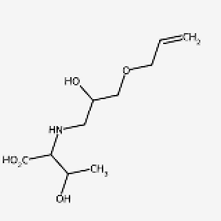 C=CCOCC(O)CNC(C(=O)O)C(C)O